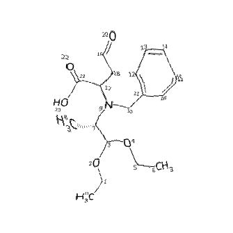 CCOC(OCC)[C@H](C)N(Cc1ccccc1)C(CC=O)C(=O)O